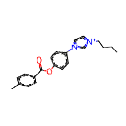 CCCC[n+]1ccn(-c2ccc(OC(=O)c3ccc(C)cc3)cc2)c1